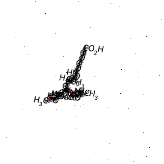 C/C=C1\C[C@H]2C=Nc3cc(OCc4cc(OCCN(C)CC(C)(C)SCC(=O)NCCOCCOCCOCCOCCC(=O)O)cc(COc5cc6c(cc5OC)C(=O)N5C/C(=C/C)C[C@H]5C=N6)n4)c(OC)cc3C(=O)N2C1